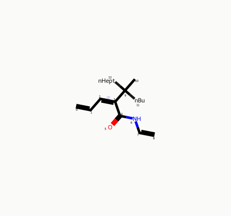 C=C/C=C(\C(=O)NC=C)C(C)(CCCC)CCCCCCC